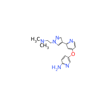 CN(C)CCn1cc(-c2cc(Oc3ccc(N)nc3)ccn2)cn1